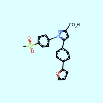 CS(=O)(=O)c1ccc(-n2nc(C(=O)O)cc2-c2ccc(-c3ccco3)cc2)cc1